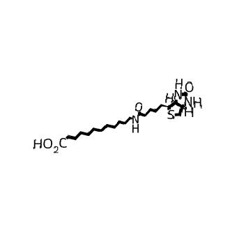 O=C(O)CCCCCCCCCCCNC(=O)CCCC[C@@H]1SC[C@@H]2NC(=O)N[C@@H]21